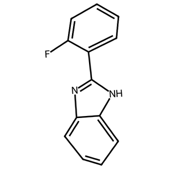 Fc1ccccc1-c1nc2ccccc2[nH]1